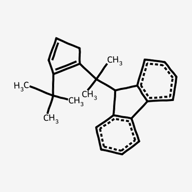 CC(C)(C)C1=C(C(C)(C)C2c3ccccc3-c3ccccc32)CC=C1